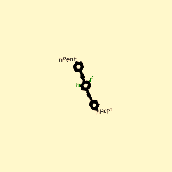 CCCCCCCc1ccc(C#Cc2cc(F)c(C#Cc3ccc(CCCCC)cc3)c(F)c2)cc1